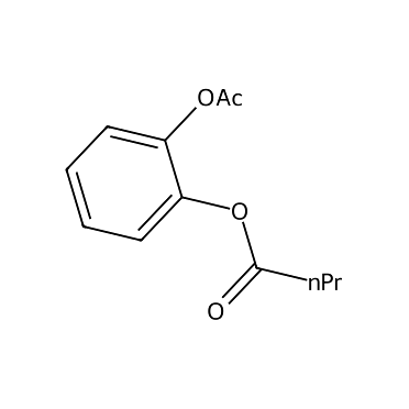 CCCC(=O)Oc1ccccc1OC(C)=O